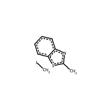 CI.Cc1nc2ccccc2s1